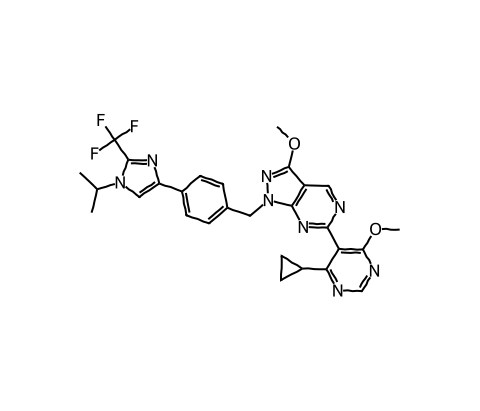 COc1ncnc(C2CC2)c1-c1ncc2c(OC)nn(Cc3ccc(-c4cn(C(C)C)c(C(F)(F)F)n4)cc3)c2n1